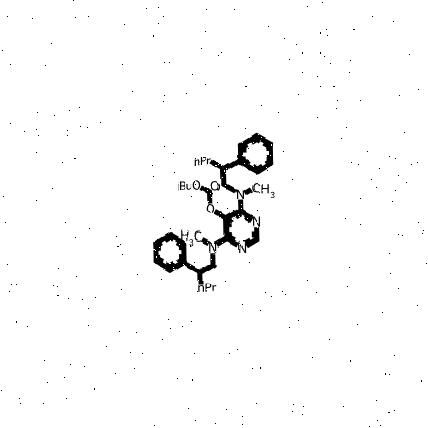 CCCC(CN(C)c1ncnc(N(C)CC(CCC)c2ccccc2)c1OC(=O)OCC(C)C)c1ccccc1